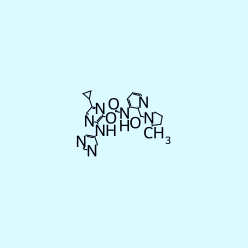 CC1CCCN1C(=O)c1ncccc1NC(=O)Oc1nc(C2CC2)cnc1Nc1cncnc1